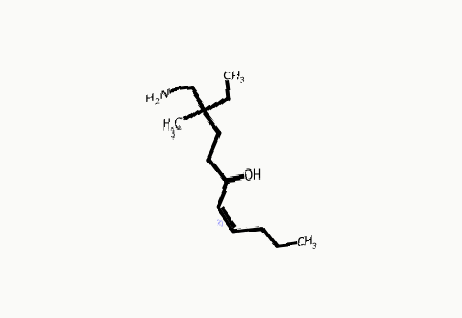 CCC/C=C\C(O)CCC(C)(CC)CN